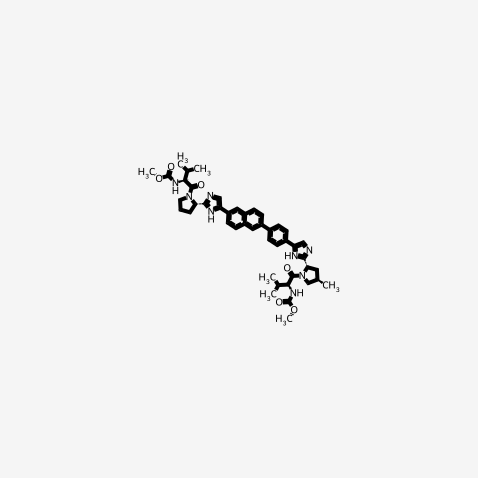 COC(=O)N[C@H](C(=O)N1CCC[C@H]1c1ncc(-c2ccc3cc(-c4ccc(-c5cnc([C@@H]6C[C@@H](C)CN6C(=O)[C@@H](NC(=O)OC)C(C)C)[nH]5)cc4)ccc3c2)[nH]1)C(C)C